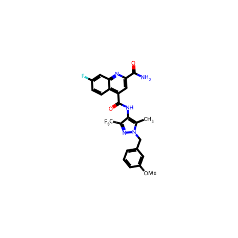 COc1cccc(Cn2nc(C(F)(F)F)c(NC(=O)c3cc(C(N)=O)nc4cc(F)ccc34)c2C)c1